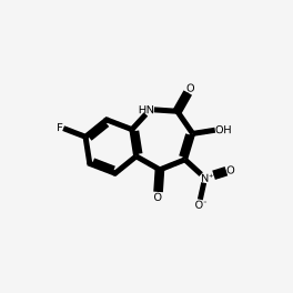 O=c1[nH]c2cc(F)ccc2c(=O)c([N+](=O)[O-])c1O